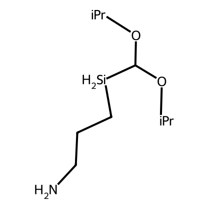 CC(C)OC(OC(C)C)[SiH2]CCCN